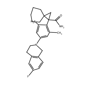 Cc1cc(N2CCc3cc(F)ccc3C2)cc(C)c1C1(C(N)=O)CC12CCCCC2